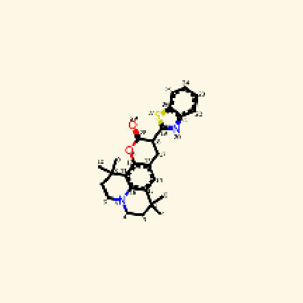 CC1(C)CCN2CCC(C)(C)c3c4c(cc1c32)CC(c1nc2ccccc2s1)C(=O)O4